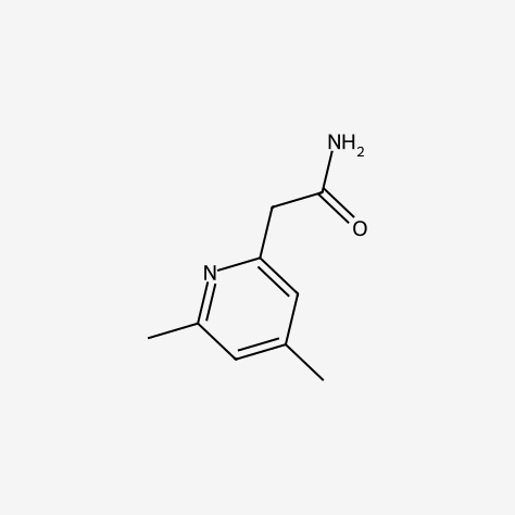 Cc1cc(C)nc(CC(N)=O)c1